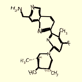 Cc1c(F)cc(N2C[C@@H](C)C(O)[C@@H](C)C2)nc1-c1ccc2cnc(CN)cc2n1